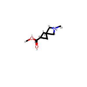 COC(=O)C1CC2(C1)CN(C)C2